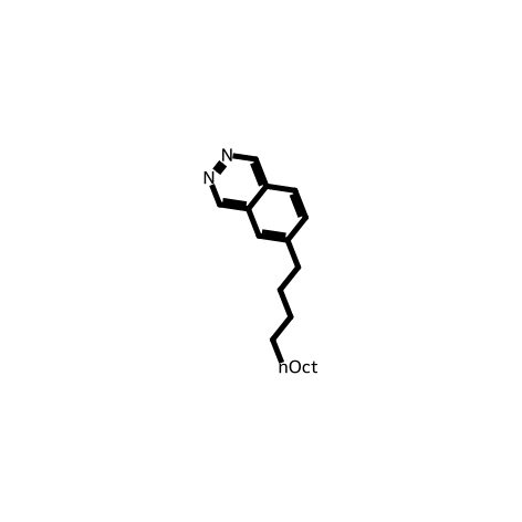 CCCCCCCCCCCCc1ccc2cnncc2c1